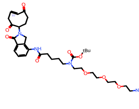 CC(C)(C)OC(=O)N(CCCCC(=O)Nc1cccc2c1CN(C1CCC(=O)/C=C/CC1=O)C2=O)CCOCCOCCOCCN